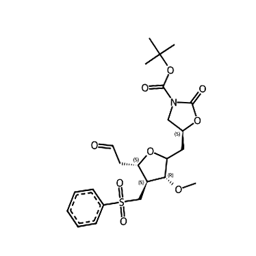 CO[C@H]1C(C[C@H]2CN(C(=O)OC(C)(C)C)C(=O)O2)O[C@@H](CC=O)[C@@H]1CS(=O)(=O)c1ccccc1